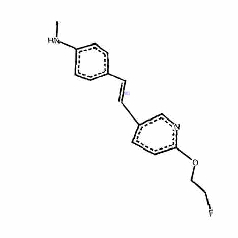 CNc1ccc(/C=C/c2ccc(OCCF)nc2)cc1